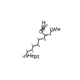 CCCCCCCCCCCCCC(COC)O[SiH3]